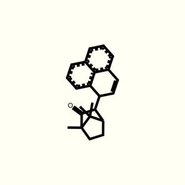 CC12CCC(C(C3C=Cc4cccc5cccc3c45)C1=O)C2(C)C